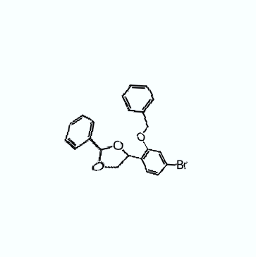 Brc1ccc(C2COC(c3ccccc3)O2)c(OCc2ccccc2)c1